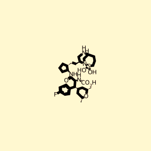 C[C@@H]1CC([C@H](c2ccc(F)cc2)[C@H](NC(=O)O)C(=O)N[C@H]2CCC[C@@H]2CC[C@H]2CN[C@@H]3CCCS(O)(O)N2C3)C[C@H](C)O1